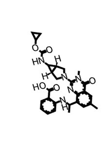 Cc1cc(C(C)Nc2ccccc2C(=O)O)c2nc(N3C[C@@H]4C(NC(=O)OC5CC5)[C@@H]4C3)n(C)c(=O)c2c1